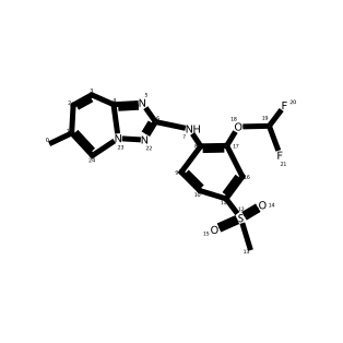 Cc1ccc2nc(Nc3ccc(S(C)(=O)=O)cc3OC(F)F)nn2c1